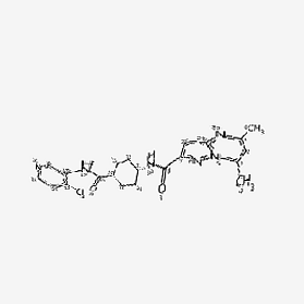 Cc1cc(C)n2nc(C(=O)N[C@H]3CC[C@H](C(=O)Nc4cnccc4Cl)CC3)cc2n1